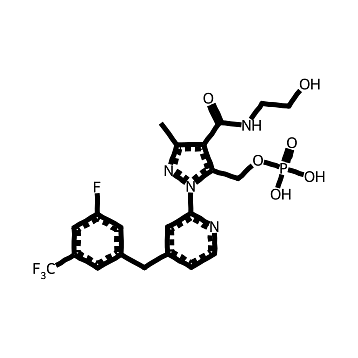 Cc1nn(-c2cc(Cc3cc(F)cc(C(F)(F)F)c3)ccn2)c(COP(=O)(O)O)c1C(=O)NCCO